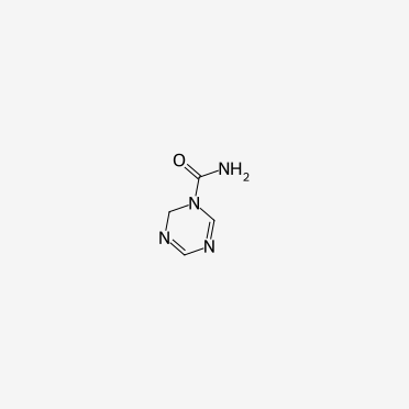 NC(=O)N1C=NC=NC1